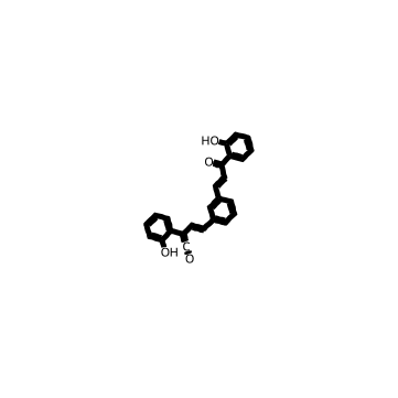 O=C=C(C=Cc1cccc(C=CC(=O)c2ccccc2O)c1)c1ccccc1O